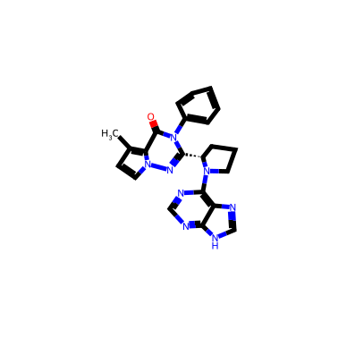 Cc1ccn2nc([C@@H]3CCCN3c3ncnc4[nH]cnc34)n(-c3ccccc3)c(=O)c12